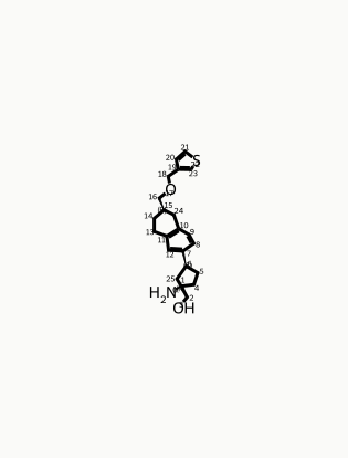 N[C@]1(CO)CC[C@H](c2ccc3c(c2)CC[C@@H](COCc2ccsc2)C3)C1